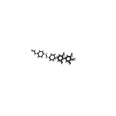 CCC[C@H]1CC[C@H](CC[C@H]2CC[C@H](c3cc(F)c(-c4cc(F)c(Cl)c(F)c4)c(F)c3)CC2)CC1